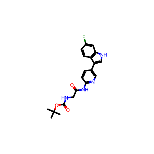 CC(C)(C)OC(=O)NCC(=O)Nc1ccc(-c2c[nH]c3cc(F)ccc23)cn1